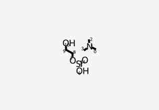 CN(C)C.O=[Si](O)OCCO